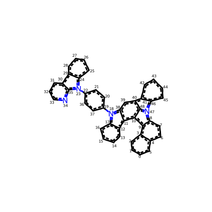 c1ccc2c(c1)ccc1c2c2c3c4ccccc4n(-c4ccc(-n5c6ccccc6c6cccnc65)cc4)c3cc3c4ccccc4n1c32